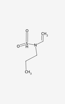 C=CN(CCC)[SH](=O)=O